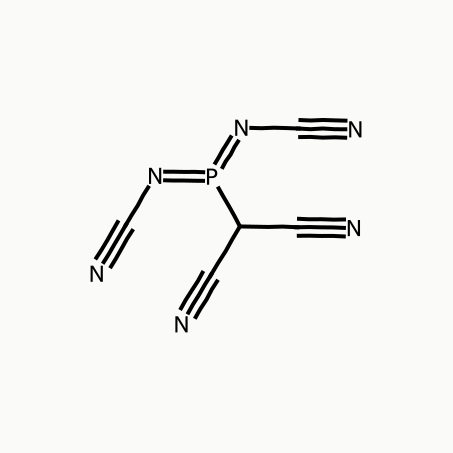 N#C/N=P(=N\C#N)\C(C#N)C#N